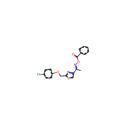 C/C(=N\OC(=O)c1ccccc1)c1csc(COc2ccc(Cl)cc2)n1